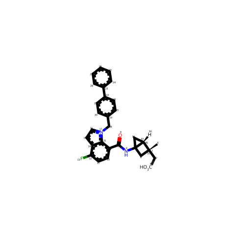 C[C@@]1(CC(=O)O)CC2(NC(=O)c3ccc(F)c4ccn(Cc5ccc(-c6ccccc6)cc5)c34)C[C@@H]21